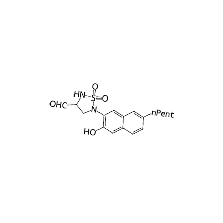 CCCCCc1ccc2cc(O)c(N3CC(C=O)NS3(=O)=O)cc2c1